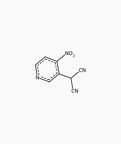 N#CC(C#N)c1cnccc1[N+](=O)[O-]